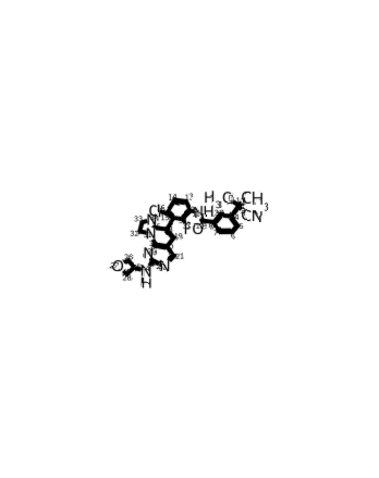 CC(C)(C#N)c1cccc(C(=O)Nc2ccc(Cl)c(C3=Cc4cnc(NC5COC5)nc4N4CCN=C34)c2F)c1